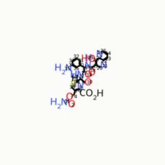 NC(=O)OCC1=C(C(=O)O)N2C(=O)C(NC(=O)C(NC(=O)c3cnc4cccnc4c3O)c3cccc(N)c3)[C@@H]2SC1